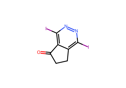 O=C1CCc2c(I)nnc(I)c21